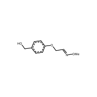 CON=CCOc1ccc(CO)cc1